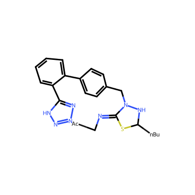 CCCCC1NN(Cc2ccc(-c3ccccc3-c3nnn[nH]3)cc2)C(=NCC(C)=O)S1